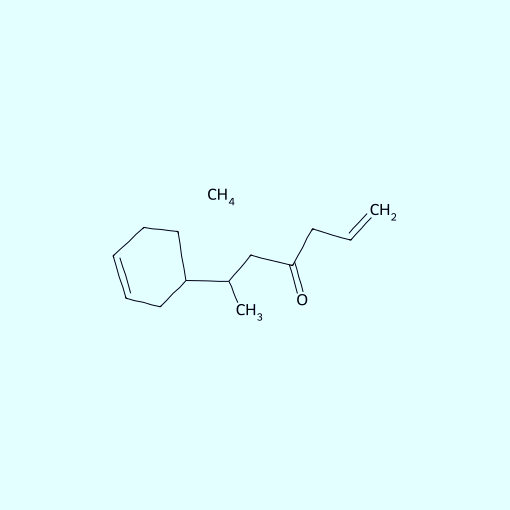 C.C=CCC(=O)CC(C)C1CC=CCC1